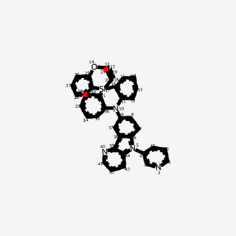 c1cncc(-n2c3ccc(N4c5ccccc5[Si]5(c6ccccc6Oc6ccccc65)c5ccccc54)cc3c3ncccc32)c1